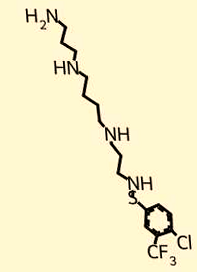 NCCCNCCCCNCCCNSc1ccc(Cl)c(C(F)(F)F)c1